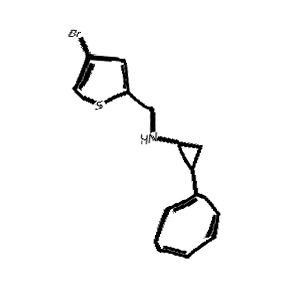 Brc1csc(CNC2CC2c2ccccc2)c1